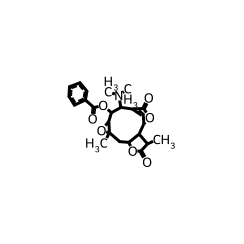 CC1C(=O)OC2CC3(C)OC3C(OC(=O)c3ccccc3)C(N(C)C)C3=CC(OC3=O)C21